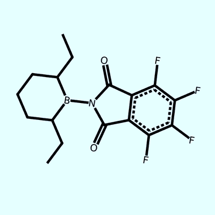 CCC1CCCC(CC)B1N1C(=O)c2c(F)c(F)c(F)c(F)c2C1=O